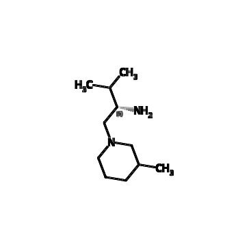 CC1CCCN(C[C@@H](N)C(C)C)C1